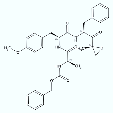 COc1ccc(C[C@H](NC(=O)[C@@H](C)NC(=O)OCc2ccccc2)C(=O)N[C@@H](Cc2ccccc2)C(=O)[C@@]2(C)CO2)cc1